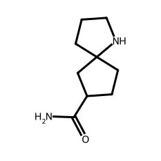 NC(=O)C1CCC2(CCCN2)C1